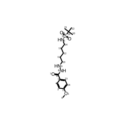 COc1ccc(C(=O)NNCCCCCNS(=O)(=O)C(C)(C)C)cc1